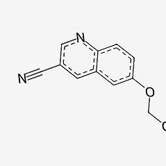 N#Cc1cnc2ccc(OCCl)cc2c1